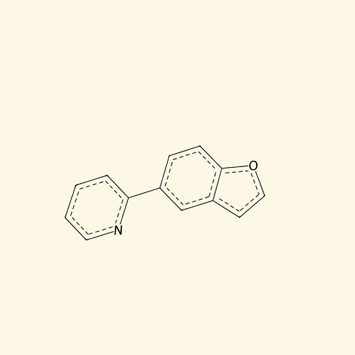 c1ccc(-c2ccc3occc3c2)nc1